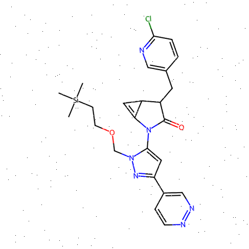 C[Si](C)(C)CCOCn1nc(-c2ccnnc2)cc1N1C(=O)C(Cc2ccc(Cl)nc2)C2C=C21